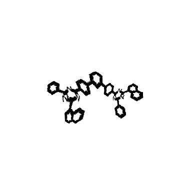 C1=C(c2cccc(-c3ccc(-c4nc(-c5ccccc5)nc(-c5cccc6ccccc56)n4)cc3)c2)CCC(c2nc(-c3ccccc3)nc(-c3cccc4ccccc34)n2)=C1